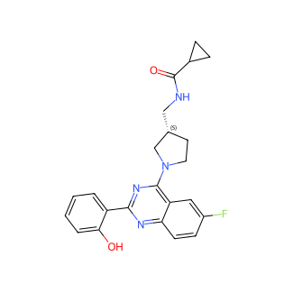 O=C(NC[C@@H]1CCN(c2nc(-c3ccccc3O)nc3ccc(F)cc23)C1)C1CC1